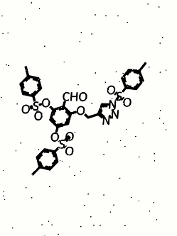 Cc1ccc(S(=O)(=O)Oc2cc(OCc3cn(S(=O)(=O)c4ccc(C)cc4)nn3)c(C=O)c(OS(=O)(=O)c3ccc(C)cc3)c2)cc1